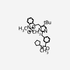 CN(C(=O)c1cccc(Cc2ncc(C(C)(C)C)c(CCc3ccccc3N(C)S(C)(=O)=O)n2)c1)C1CCCC1